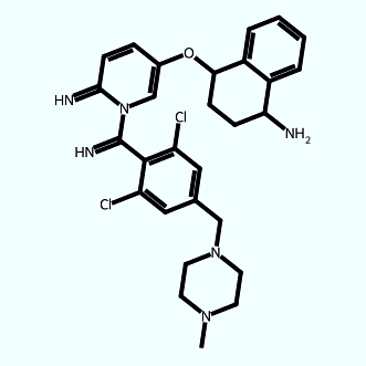 CN1CCN(Cc2cc(Cl)c(C(=N)n3cc(OC4CCC(N)c5ccccc54)ccc3=N)c(Cl)c2)CC1